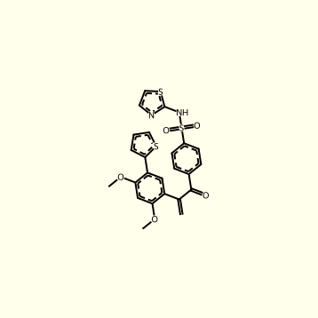 C=C(C(=O)c1ccc(S(=O)(=O)Nc2nccs2)cc1)c1cc(-c2cccs2)c(OC)cc1OC